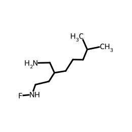 CC(C)CCCC(CN)CCNF